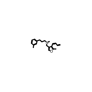 C=C/C=C\c1c(CN(C)CCCc2cccc(C)c2)coc1C